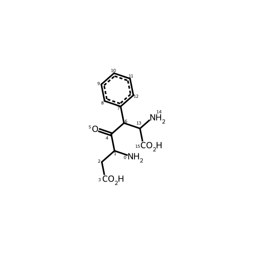 NC(CC(=O)O)C(=O)C(c1ccccc1)C(N)C(=O)O